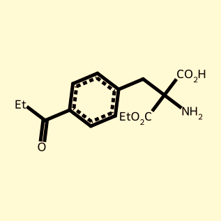 CCOC(=O)C(N)(Cc1ccc(C(=O)CC)cc1)C(=O)O